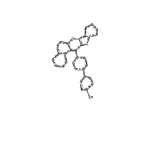 N#Cc1ccc(-c2ccc(-c3c4sc5ccccc5c4nc4ccc5ccccc5c34)cc2)cc1